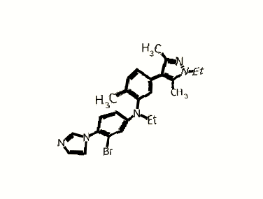 CCN(c1ccc(-n2ccnc2)c(Br)c1)c1cc(-c2c(C)nn(CC)c2C)ccc1C